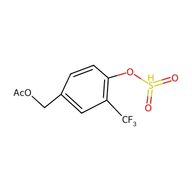 CC(=O)OCc1ccc(O[SH](=O)=O)c(C(F)(F)F)c1